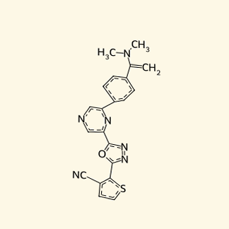 C=C(c1ccc(-c2cncc(-c3nnc(-c4sccc4C#N)o3)n2)cc1)N(C)C